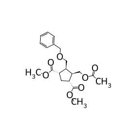 COC(=O)[C@H]1C[C@@H](C(=O)OC)[C@H](COC(C)=O)[C@@H]1COCc1ccccc1